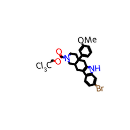 COc1cccc(C23CCN(C(=O)OCC(Cl)(Cl)Cl)CC2Cc2c([nH]c4cc(Br)ccc24)C3)c1